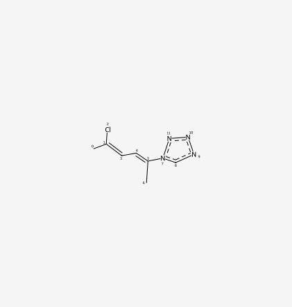 C/C(Cl)=C/C=C(\C)n1cnnn1